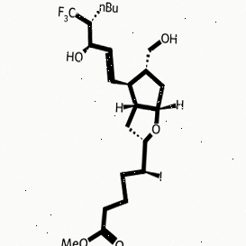 CCCC[C@H]([C@H](O)/C=C/[C@H]1[C@H](CO)C[C@@H]2O[C@H]([C@@H](I)CCCC(=O)OC)C[C@H]12)C(F)(F)F